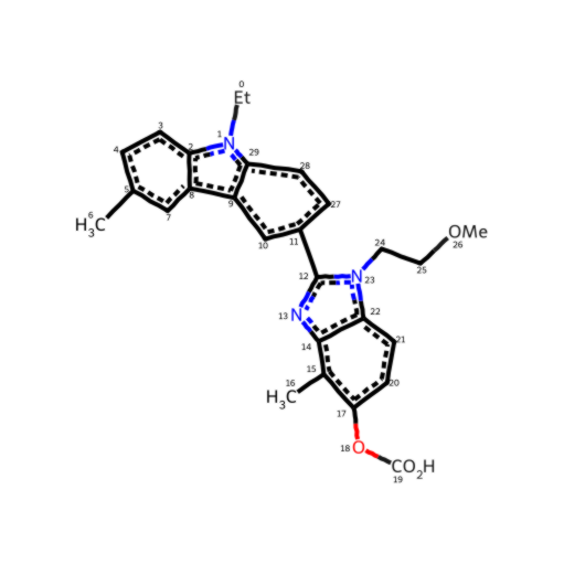 CCn1c2ccc(C)cc2c2cc(-c3nc4c(C)c(OC(=O)O)ccc4n3CCOC)ccc21